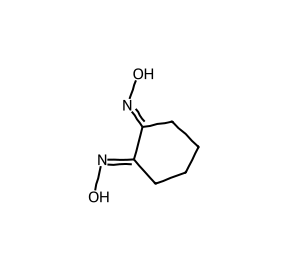 ON=C1CCCCC1=NO